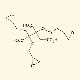 O=C(O)CC(OOCC1CO1)(C(=O)O)C(OCC1CO1)(OCC1CO1)C(=O)O